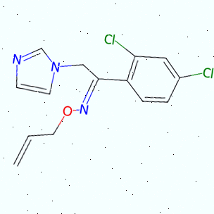 C=CCON=C(Cn1ccnc1)c1ccc(Cl)cc1Cl